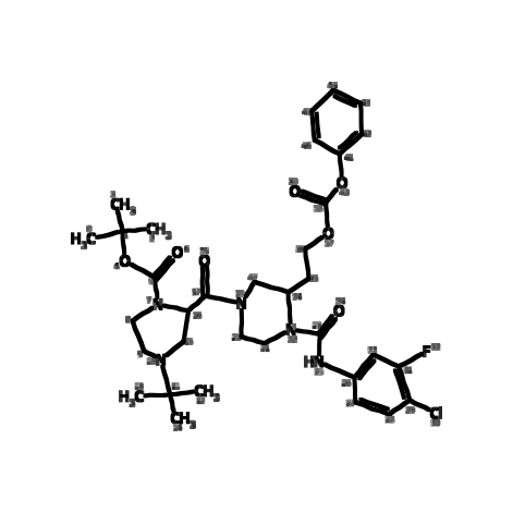 CC(C)(C)OC(=O)N1CCN(C(C)(C)C)CC1C(=O)N1CCN(C(=O)Nc2ccc(Cl)c(F)c2)C(CCOC(=O)Oc2ccccc2)C1